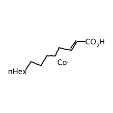 CCCCCCCCCCCC=CC(=O)O.[Co]